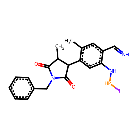 Cc1cc(C=N)c(NPI)cc1C1C(=O)N(Cc2ccccc2)C(=O)C1C